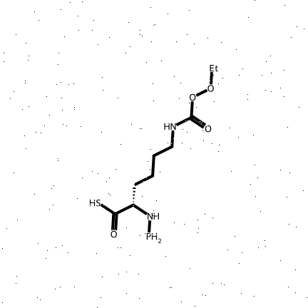 CCOOC(=O)NCCCC[C@H](NP)C(=O)S